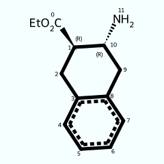 CCOC(=O)[C@@H]1Cc2ccccc2C[C@H]1N